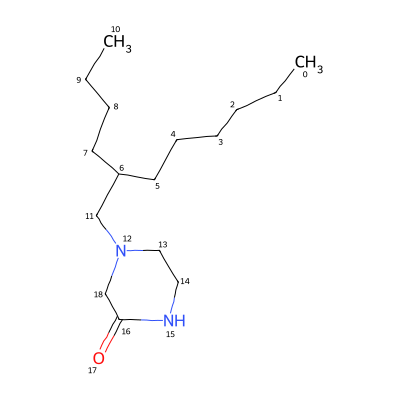 CCCCCCC(CCCC)CN1CCNC(=O)C1